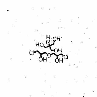 NC(CO)(CO)CO.OC(CCl)COCC(O)CCl